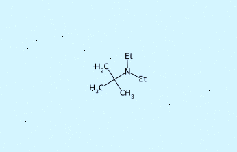 [CH2]C(C)(C)N(CC)CC